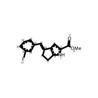 COC(=O)c1cc2c([nH]1)CC/C2=C\c1cccc(F)c1